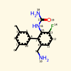 Cc1cc(C)cc(-c2c(CN)ccc(F)c2NC(N)=O)c1